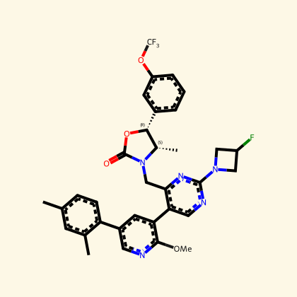 COc1ncc(-c2ccc(C)cc2C)cc1-c1cnc(N2CC(F)C2)nc1CN1C(=O)O[C@H](c2cccc(OC(F)(F)F)c2)[C@@H]1C